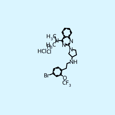 CN(C)c1nc(N2CCC(NCCc3ccc(Br)cc3OC(F)(F)F)C2)nc2ccccc12.Cl.Cl